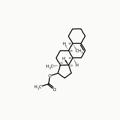 CC(=O)OC1CC[C@H]2[C@@H]3CC=C4CCCC[C@]4(C)[C@@H]3CC[C@]12C